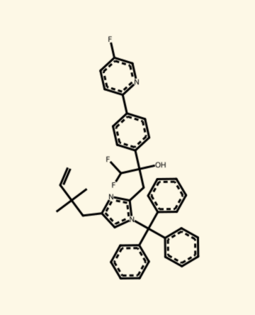 C=CC(C)(C)Cc1cn(C(c2ccccc2)(c2ccccc2)c2ccccc2)c(CC(O)(c2ccc(-c3ccc(F)cn3)cc2)C(F)F)n1